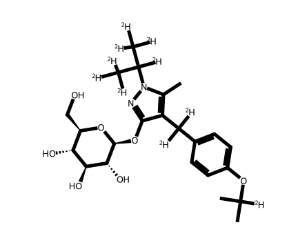 [2H]C(C)(C)Oc1ccc(C([2H])([2H])c2c(O[C@@H]3O[C@H](CO)[C@@H](O)[C@H](O)[C@H]3O)nn(C([2H])(C([2H])([2H])[2H])C([2H])([2H])[2H])c2C)cc1